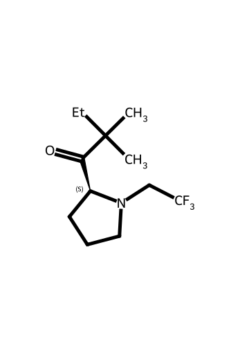 CCC(C)(C)C(=O)[C@@H]1CCCN1CC(F)(F)F